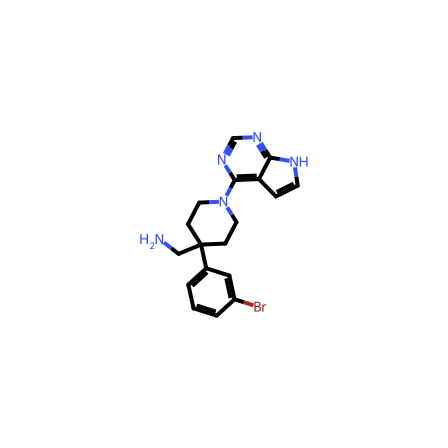 NCC1(c2cccc(Br)c2)CCN(c2ncnc3[nH]ccc23)CC1